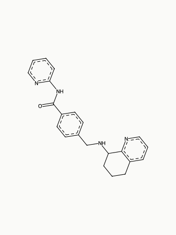 O=C(Nc1ccccn1)c1ccc(CNC2CCCc3cccnc32)cc1